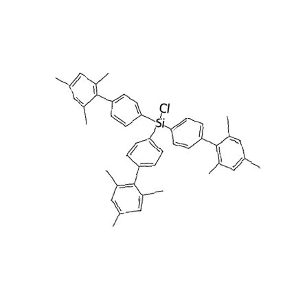 Cc1cc(C)c(-c2ccc([Si](Cl)(c3ccc(-c4c(C)cc(C)cc4C)cc3)c3ccc(-c4c(C)cc(C)cc4C)cc3)cc2)c(C)c1